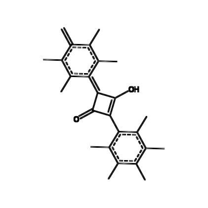 C=c1c(C)c(C)c(=C2C(=O)C(c3c(C)c(C)c(C)c(C)c3C)=C2O)c(C)c1C